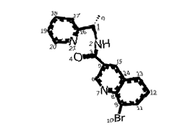 C[C@H](NC(=O)c1cnc2c(Br)cccc2c1)c1ccccn1